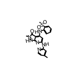 Cc1ccnc(Nc2cc(Nc3ccccc3S(C)(=O)=O)c3c(=O)n(C)[nH]c3n2)c1